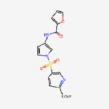 COc1ccc(S(=O)(=O)n2ccc(NC(=O)c3ccco3)c2)cn1